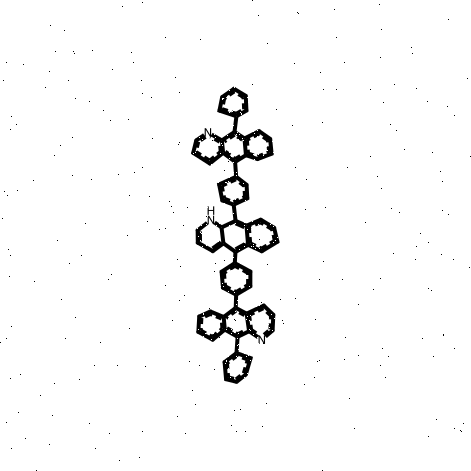 C1=CNC2C(=C1)C(c1ccc(-c3c4ccccc4c(-c4ccccc4)c4ncccc34)cc1)=c1ccccc1=C2c1ccc(-c2c3ccccc3c(-c3ccccc3)c3ncccc23)cc1